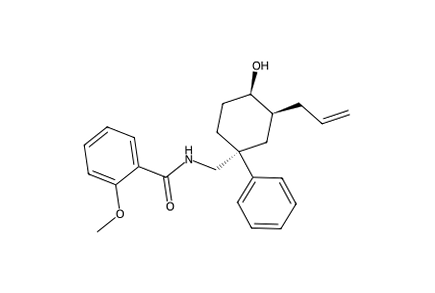 C=CC[C@H]1C[C@@](CNC(=O)c2ccccc2OC)(c2ccccc2)CC[C@H]1O